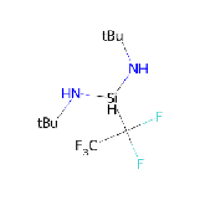 CC(C)(C)N[SiH](NC(C)(C)C)C(F)(F)C(F)(F)F